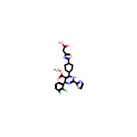 COC(=O)C1=C(C2CCC(c3nc(CC(=O)O)co3)CC2)NC(c2nccs2)=NC1c1cccc(F)c1Cl